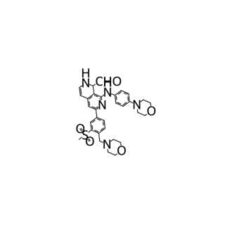 CS(=O)(=O)c1cc(-c2cc3c(c(Nc4ccc(N5CCOCC5)cc4)n2)C(C=O)NC=C3)ccc1CN1CCOCC1